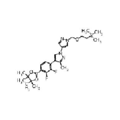 Cc1nn(-c2cnn(COCCS(C)(C)C)c2)cc1-c1ccc(B2OC(C)(C)C(C)(C)O2)c(F)c1F